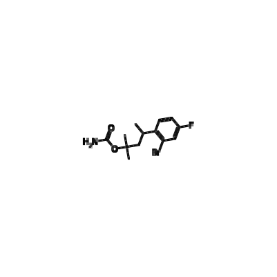 CC(CC(C)(C)OC(N)=O)c1ccc(F)cc1Br